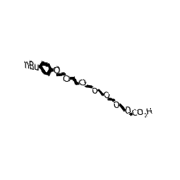 CCCCc1ccc(OCCOCCOCCOCCOCCOCCOCC(=O)O)cc1